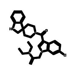 C=C(Cn1cc(C(=O)N2CCC3(CC2)CNc2ccccc23)c2ccc(Cl)cc21)N(CC)CC